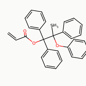 C=CC(=O)OC(c1ccccc1)(c1ccccc1)C([SiH3])(Oc1ccccc1)c1ccccc1